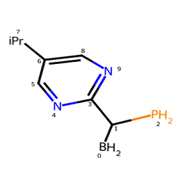 BC(P)c1ncc(C(C)C)cn1